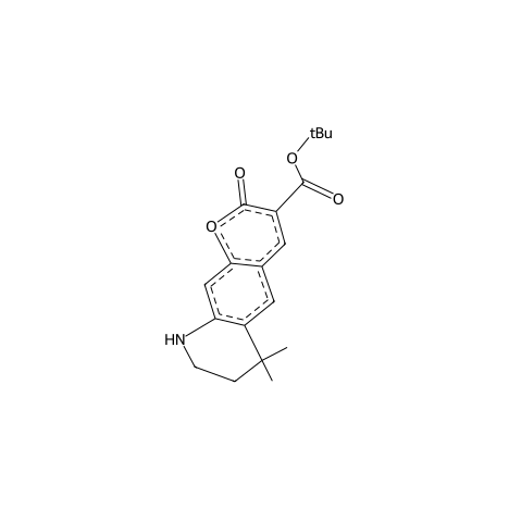 CC(C)(C)OC(=O)c1cc2cc3c(cc2oc1=O)NCCC3(C)C